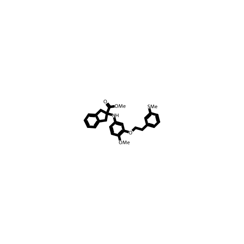 COC(=O)C1(Nc2ccc(OC)c(OCCc3cccc(SC)c3)c2)Cc2ccccc2C1